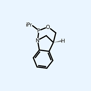 CC(C)P1OC[C@@H]2CN1c1ccccc12